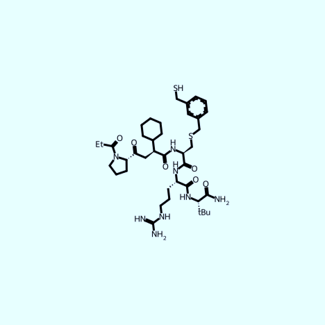 CCC(=O)N1CCC[C@H]1C(=O)C[C@H](C(=O)N[C@@H](CSCc1cccc(CS)c1)C(=O)N[C@@H](CCCNC(=N)N)C(=O)N[C@H](C(N)=O)C(C)(C)C)C1CCCCC1